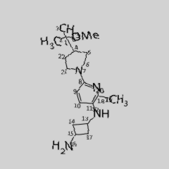 COC(C)(C)C1CCN(c2ccc(NC3CC(N)C3)c(C)n2)CC1